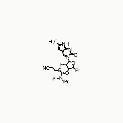 CCC1OC(n2cc3cc(C)[nH]c3nc2=O)C(F)C1OP(OCCC#N)N(C(C)C)C(C)C